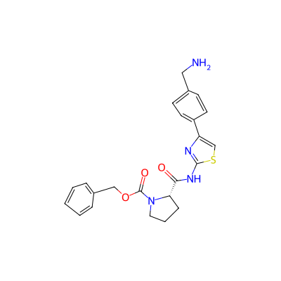 NCc1ccc(-c2csc(NC(=O)[C@@H]3CCCN3C(=O)OCc3ccccc3)n2)cc1